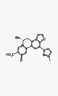 Cn1ccc(-c2cc3c(c4ccoc24)C[C@@H](C(C)(C)C)n2cc(C(=O)O)c(=O)cc2-3)n1